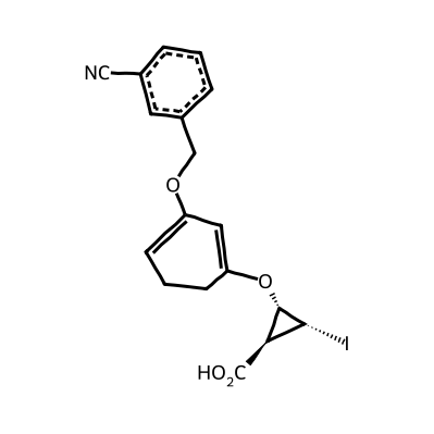 N#Cc1cccc(COC2=CCCC(O[C@@H]3[C@H](I)[C@H]3C(=O)O)=C2)c1